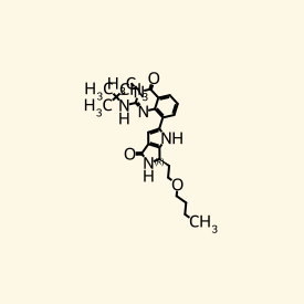 CCCCOCC[C@H]1NC(=O)c2cc(-c3cccc4c(=O)n(C)c(NC(C)(C)C)nc34)[nH]c21